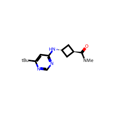 CNC(=O)[C@H]1C[C@H](Nc2cc(C(C)(C)C)ncn2)C1